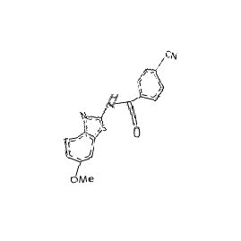 COc1ccc2nc(NC(=O)c3ccc(C#N)cc3)sc2c1